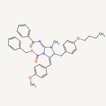 CCCCOc1ccc(CC2/C(=C/c3ccc(OC)cc3)N(C(=O)OCc3ccccc3)/C(=N\C(=O)c3ccccc3)N2C)cc1